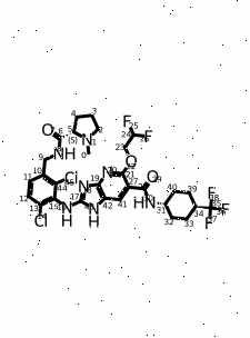 CN1CCC[C@H]1C(=O)NCc1ccc(Cl)c(Nc2nc3nc(OCC(F)F)c(C(=O)N[C@H]4CC[C@H](C(F)(F)F)CC4)cc3[nH]2)c1Cl